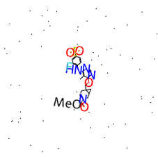 COC(=O)N1CCC2(COc3ncnc(Nc4ccc(S(C)(=O)=O)cc4F)c3C)CC2C1